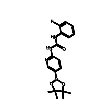 CC1(C)OB(c2ccc(NC(=O)Nc3ccccc3F)nc2)OC1(C)C